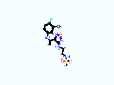 C=C(Nc1ccc(F)c(C#N)c1)c1nonc1NCCNS(C)(=O)=O